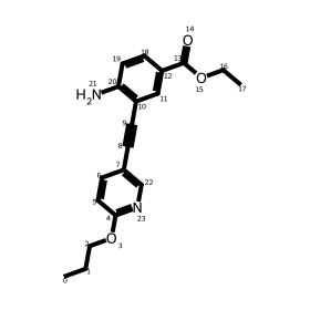 CCCOc1ccc(C#Cc2cc(C(=O)OCC)ccc2N)cn1